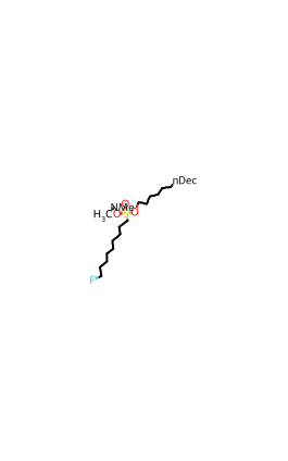 CCCCCCCCCCCCCCCCOS(=O)(=O)CCCCCCCCCF.CNC